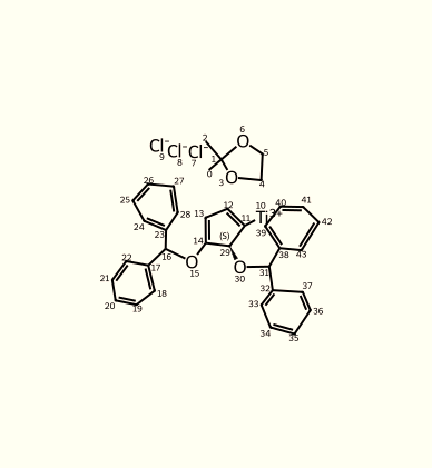 CC1(C)OCCO1.[Cl-].[Cl-].[Cl-].[Ti+3][C]1=CC=C(OC(c2ccccc2)c2ccccc2)[C@@H]1OC(c1ccccc1)c1ccccc1